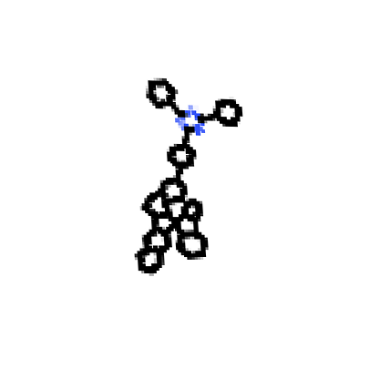 c1ccc(-c2nc(-c3ccccc3)nc(-c3ccc(-c4ccc5c6c(ccc5c4)-c4cc5ccccc5cc4C64c5ccccc5-c5ccccc54)cc3)n2)cc1